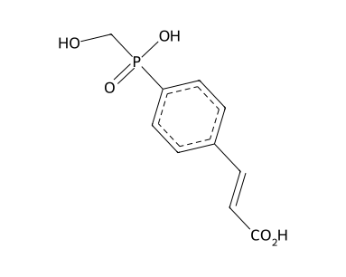 O=C(O)C=Cc1ccc(P(=O)(O)CO)cc1